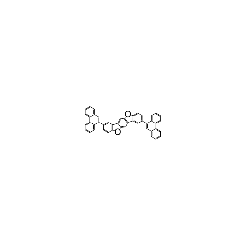 c1ccc2c(c1)cc(-c1ccc3oc4cc5c(cc4c3c1)oc1ccc(-c3cc4ccccc4c4ccccc34)cc15)c1ccccc12